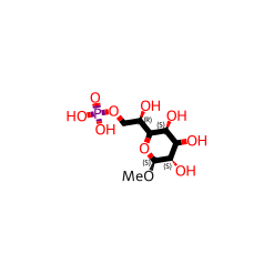 CO[C@H]1OC([C@H](O)COP(=O)(O)O)[C@@H](O)C(O)[C@@H]1O